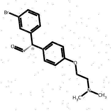 CN(C)CCOc1ccc([C@H](C=O)c2cccc(Br)c2)cc1